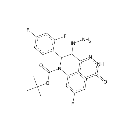 CC(C)(C)OC(=O)N1c2cc(F)cc3c(=O)[nH]nc(c23)C(NN)C1c1ccc(F)cc1F